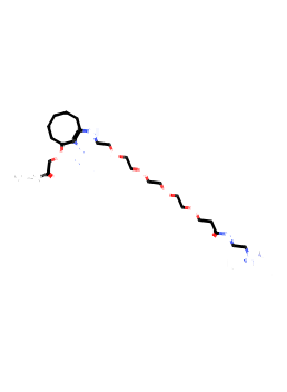 CNC(=O)COC1CCCCC/C(NCCOCCOCCOCCOCCC(=O)NCC[N+](C)(C)C)=C\1NN